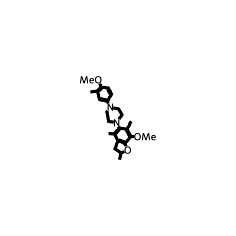 COc1ccc(N2CCN(c3c(C)c4c(c(OC)c3C)OC(C)C4)CC2)cc1C